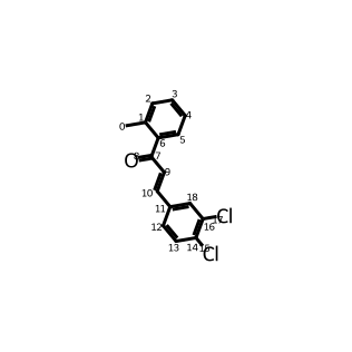 Cc1ccccc1C(=O)C=Cc1ccc(Cl)c(Cl)c1